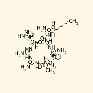 CCCCCCC[C@@H](O)CC(=O)N[C@H](CCN)C(=O)N[C@H]1CCNC(=O)[C@H](CCCNC(=N)N)NC(=O)[C@H](CCN)NC(=O)[C@H](CCN)NC(=O)[C@H](CC(C)C)NC(=O)[C@@H](Cc2ccccc2)NC(=O)[C@H](CCN)NC1=O